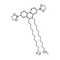 CCCCCCCCCCCCc1c(CCCCCCCCCCCC)c2cc(B3OCCO3)ccc2c2ccc(B3OCCO3)cc12